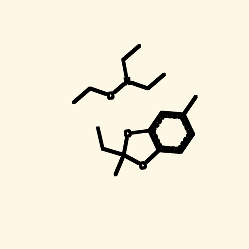 CCC1(C)Oc2ccc(C)cc2O1.CCON(CC)CC